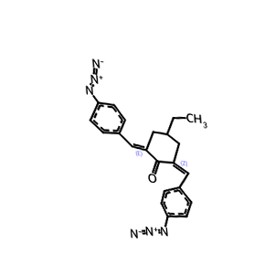 CCC1C/C(=C/c2ccc(N=[N+]=[N-])cc2)C(=O)/C(=C/c2ccc(N=[N+]=[N-])cc2)C1